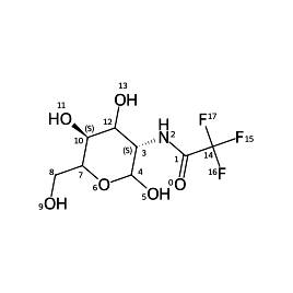 O=C(N[C@@H]1C(O)OC(CO)[C@@H](O)C1O)C(F)(F)F